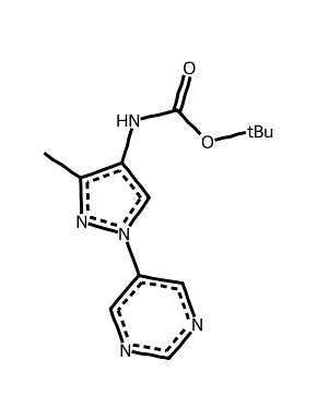 Cc1nn(-c2cncnc2)cc1NC(=O)OC(C)(C)C